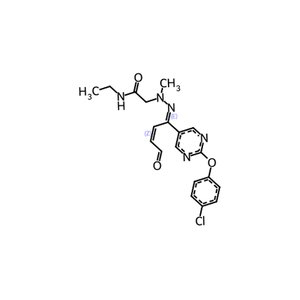 CCNC(=O)CN(C)/N=C(\C=C/C=O)c1cnc(Oc2ccc(Cl)cc2)nc1